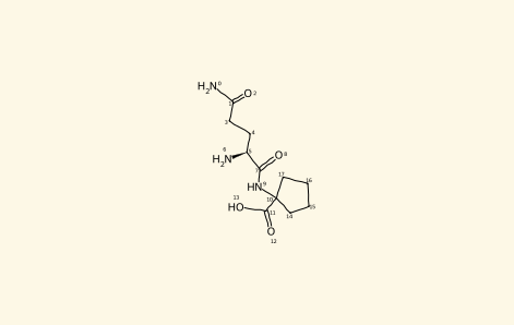 NC(=O)CC[C@H](N)C(=O)NC1(C(=O)O)CCCC1